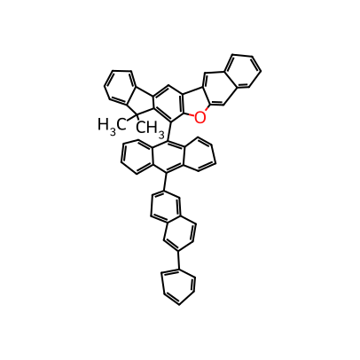 CC1(C)c2ccccc2-c2cc3c(oc4cc5ccccc5cc43)c(-c3c4ccccc4c(-c4ccc5cc(-c6ccccc6)ccc5c4)c4ccccc34)c21